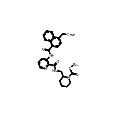 COCc1ccc(C(=O)Nc2cccnc2C(=O)NCC2CCCCN2C(=O)OC(C)(C)C)c2ccccc12